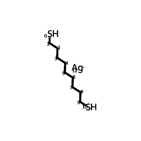 SCCCCCCCCCS.[Ag]